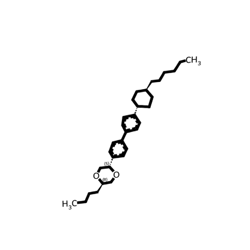 CCCCCC[C@H]1CC[C@H](c2ccc(-c3ccc([C@H]4CO[C@H](CCCC)CO4)cc3)cc2)CC1